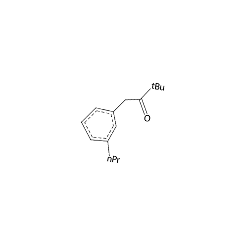 CCCc1cccc(CC(=O)C(C)(C)C)c1